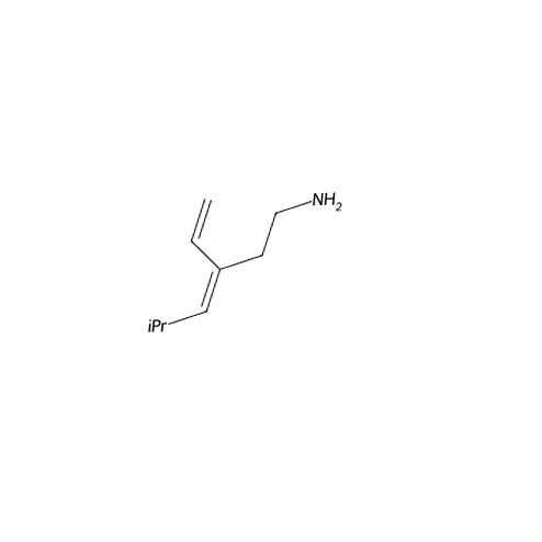 C=C/C(=C\C(C)C)CCN